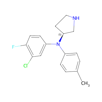 Cc1ccc(N(c2ccc(F)c(Cl)c2)[C@H]2CCNC2)cc1